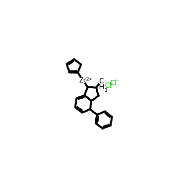 CC1CC2C(=CC=CC2c2ccccc2)[CH]1[Zr+2][C]1=CC=CC1.[Cl-].[Cl-]